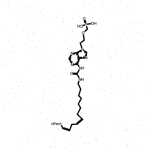 CCCCC/C=C\C/C=C\CCCCCCCNC(=O)Nc1ncnc2c1ncn2CCOCP(=O)(O)O